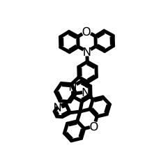 c1ccc2c(c1)Oc1ccccc1N2c1ccc2c(c1)c1ccccc1n2-c1cccc2c1C1(c3ccccc3O2)c2cccnc2-c2ncccc21